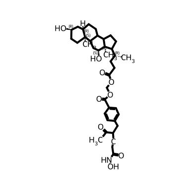 CC(=O)C(CCC(=O)NO)Cc1ccc(C(=O)OCOC(=O)CC[C@@H](C)C2CCC3C4CC[C@@H]5C[C@H](O)CC[C@]5(C)C4C[C@H](O)[C@@]32C)cc1